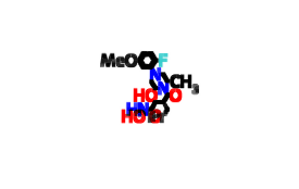 COc1ccc(F)c(N2CCN(C(=O)[C@@H](CC(C)C)[C@H](O)C(=O)NO)[C@H](C)C2)c1